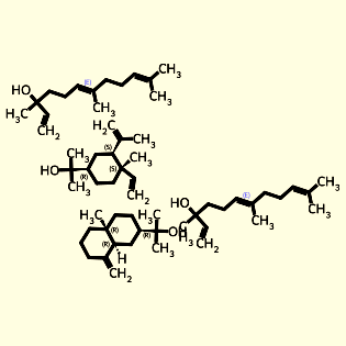 C=C1CCC[C@]2(C)CC[C@@H](C(C)(C)O)C[C@@H]12.C=CC(C)(O)CC/C=C(\C)CCC=C(C)C.C=CC(C)(O)CC/C=C(\C)CCC=C(C)C.C=C[C@]1(C)CC[C@@H](C(C)(C)O)C[C@H]1C(=C)C